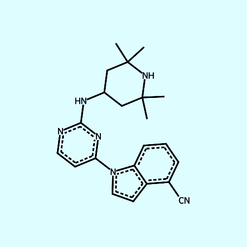 CC1(C)CC(Nc2nccc(-n3ccc4c(C#N)cccc43)n2)CC(C)(C)N1